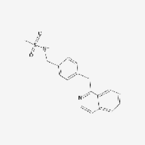 CS(=O)(=O)NCc1ccc(Cc2nccc3ccccc23)cc1